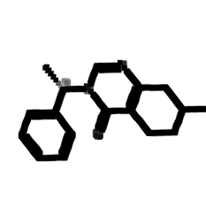 CC1CCc2c(ncn([C@@H](C)c3ccccc3)c2=O)C1